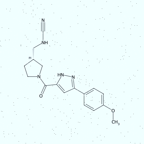 COc1ccc(-c2cc(C(=O)N3CC[C@H](CNC#N)C3)[nH]n2)cc1